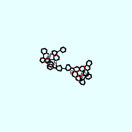 c1ccc(-c2ccc(N(c3ccccc3-c3ccccc3-n3c4ccccc4c4ccc(-c5ccc6c(c5)oc5c(-c7ccccc7N(c7ccccc7-c7ccc8ccccc8c7)c7ccccc7-c7ccccc7-n7c8ccccc8c8ccccc87)cccc56)cc43)c3ccccc3-c3cccc4c3oc3ccccc34)cc2)cc1